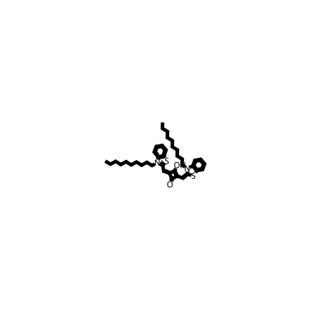 CCCCCCCCCCN1/C(=C\C2=C(O)C(=C\c3sc4ccccc4[n+]3CCCCCCCCCC)/C2=O)Sc2ccccc21